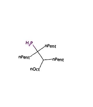 CCCCCCCCC(CCCCC)C(P)(CCCCC)CCCCC